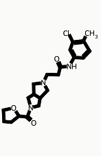 Cc1ccc(NC(=O)CCN2CC3CN(C(=O)C4CCCO4)CC3C2)cc1Cl